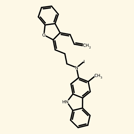 C=C/C=c1\c(=C/CCN(I)c2cc3[nH]c4ccccc4c3cc2C)oc2ccccc12